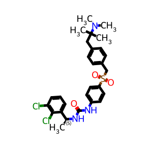 C[C@H](NC(=O)Nc1ccc(S(=O)(=O)Cc2ccc(CC(C)(C)N(C)C)cc2)cc1)c1cccc(Cl)c1Cl